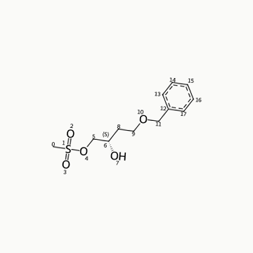 CS(=O)(=O)OC[C@@H](O)CCOCc1ccccc1